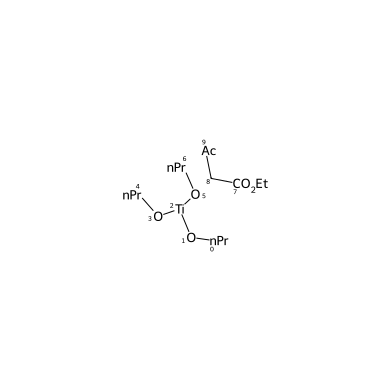 CCC[O][Ti]([O]CCC)[O]CCC.CCOC(=O)CC(C)=O